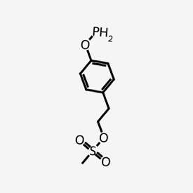 CS(=O)(=O)OCCc1ccc(OP)cc1